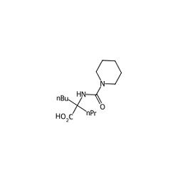 CCCCC(CCC)(NC(=O)N1CCCCC1)C(=O)O